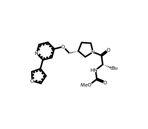 COC(=O)N[C@H](C(=O)N1CC[C@@H](COc2ccnc(-c3ccoc3)c2)C1)C(C)(C)C